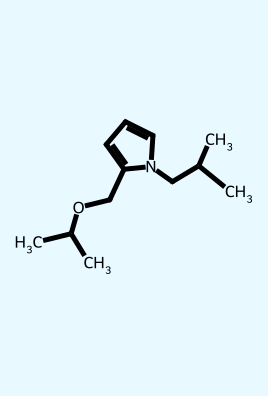 CC(C)Cn1cccc1COC(C)C